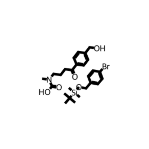 CC(C)(C)[Si](C)(C)OCc1ccc(Br)cc1.CN(CCCC(=O)c1ccc(CO)cc1)C(=O)O